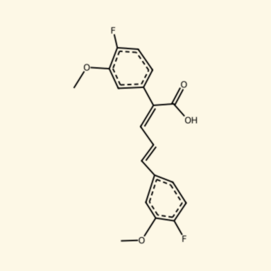 COc1cc(C=CC=C(C(=O)O)c2ccc(F)c(OC)c2)ccc1F